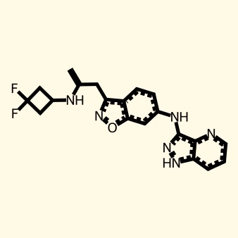 C=C(Cc1noc2cc(Nc3n[nH]c4cccnc34)ccc12)NC1CC(F)(F)C1